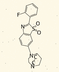 O=S1(=O)C(c2ccccc2F)=Nc2ccc(N3CCN4CCC3CC4)cc21